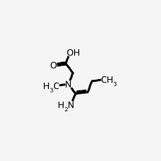 CC/C=C(/N)N(C)CC(=O)O